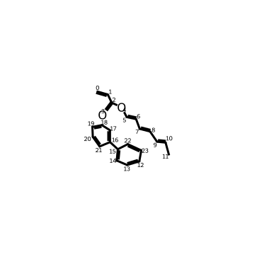 C=CC(=O)OC=CC=CC=CC.c1ccc(-c2ccccc2)cc1